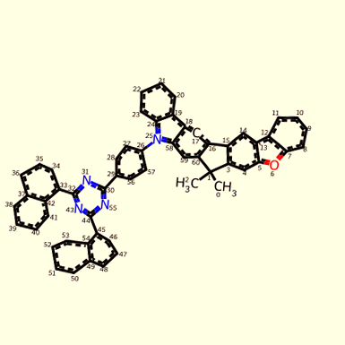 CC1(C)c2cc3oc4ccccc4c3cc2-c2cc3c4ccccc4n(-c4ccc(-c5nc(-c6cccc7ccccc67)nc(-c6cccc7ccccc67)n5)cc4)c3cc21